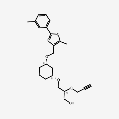 C#CCO[C@H](CO)CO[C@@H]1CCC[C@H](OCc2nc(-c3cccc(C)c3)oc2C)C1